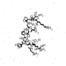 CC(C)[C@H](NC(=O)[C@@H](NC(=O)[C@@H](N)CCCCN)[C@@H](O)CN)C(=O)NCC(=O)N[C@H](CCCN)C(=O)N1CCC[C@H]1C(=O)N[C@@H](CCc1cnc[nH]1)C(=O)N[C@@H](CCCCN)C(=O)N/C(=C\CCNC(=N)N)C(=O)O